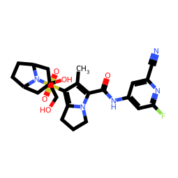 Cc1c(S(=O)(=O)N2C3CCC2CC(O)(CO)C3)c2n(c1C(=O)Nc1cc(F)nc(C#N)c1)CCC2